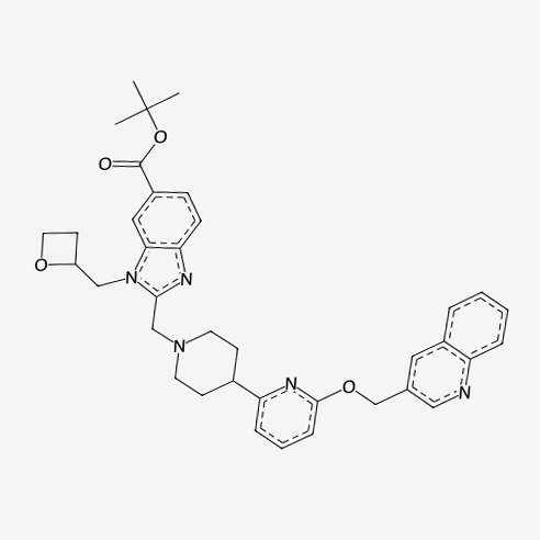 CC(C)(C)OC(=O)c1ccc2nc(CN3CCC(c4cccc(OCc5cnc6ccccc6c5)n4)CC3)n(CC3CCO3)c2c1